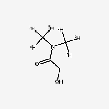 [2H]C([2H])([2H])N(C(=O)CO)C([2H])([2H])[2H]